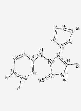 Cc1ccc(Nn2c(-c3ccccc3)c(C)[nH]c2=S)cc1C